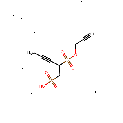 C#CCOS(=O)(=O)C(C#CC)CS(=O)(=O)O